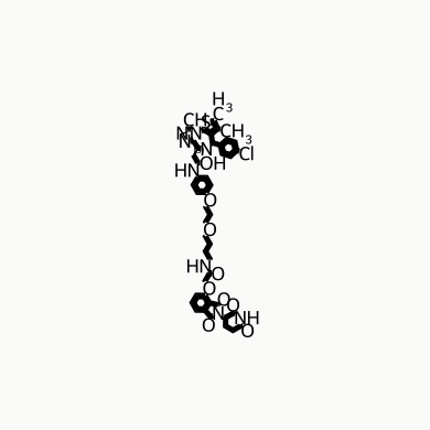 Cc1sc2c(c1C)C(c1ccc(Cl)cc1)=N[C@@H](CC(O)Nc1ccc(OCCCOCCCCNC(=O)COc3cccc4c3C(=O)N(C3CCC(=O)NC3=O)C4=O)cc1)c1nnc(C)n1-2